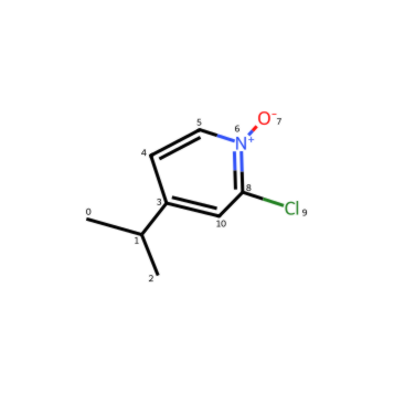 CC(C)c1cc[n+]([O-])c(Cl)c1